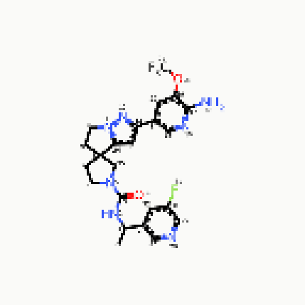 CC(NC(=O)N1CCC2(CCn3nc(-c4cnc(N)c(OC(F)(F)F)c4)cc32)C1)c1cncc(F)c1